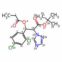 CCC(=O)OC(c1ccc(Cl)cc1Cl)C(C(=O)OC(C)(C)C)n1cncn1